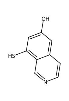 Oc1cc(S)c2cnccc2c1